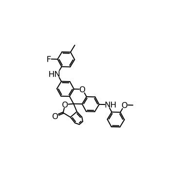 COc1ccccc1Nc1ccc2c(c1)Oc1cc(Nc3ccc(C)cc3F)ccc1C21OC(=O)c2ccccc21